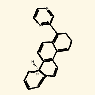 C1=CC[C@@H]2C(=C1)C=Cc1c2ccc2c1=CCCC=2c1cnccn1